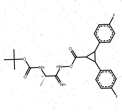 C[C@H](NC(=O)OC(C)(C)C)C(=N)NOC(=O)C1C(c2ccc(F)cc2)C1c1ccc(F)cc1